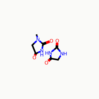 CN1CC(=O)NC1=O.O=C1CNC(=O)N1